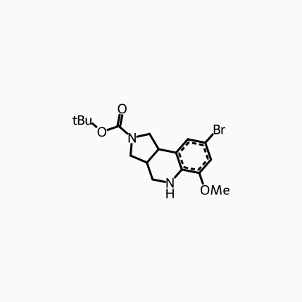 COc1cc(Br)cc2c1NCC1CN(C(=O)OC(C)(C)C)CC21